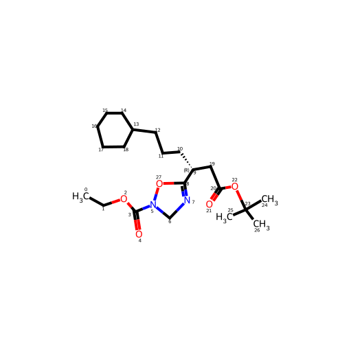 CCOC(=O)N1CN=C([C@H](CCCC2CCCCC2)CC(=O)OC(C)(C)C)O1